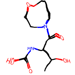 CC(O)C(NC(=O)O)C(=O)N1CCOCC1